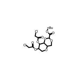 CCCCOC(=O)C1OCC2OCC(OC(=O)CCl)C(OC(=O)CCl)C2O1